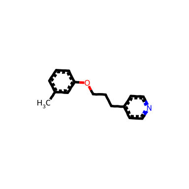 Cc1cccc(OCCCc2ccncc2)c1